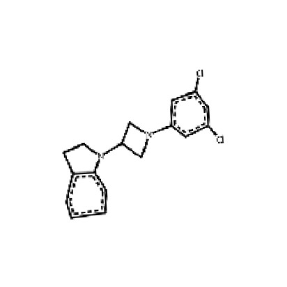 Clc1cc(Cl)cc(N2CC(N3CCc4ccccc43)C2)c1